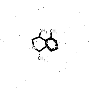 Cc1cccc2c1C(N)CO[C@H]2C